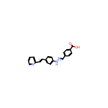 O=C(O)c1ccc(/C=N/Nc2ccc(/C=C/c3ccccn3)cc2)cc1